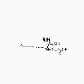 CCCCCCCCCCCC(=O)N[C@@H](CCC(=O)O)C(=O)O.[NaH].[NaH]